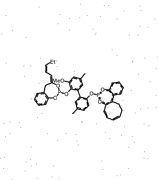 CC/C=C\C=C1/Cc2ccccc2OP(Oc2c(OC)cc(C)cc2-c2cc(C)ccc2Op2oc3c(c4ccccc4o2)CC/C=C\C=C/3)O1